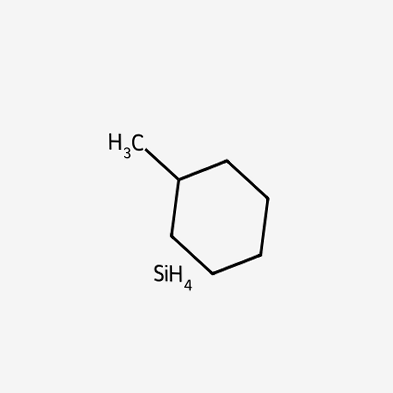 CC1CCCCC1.[SiH4]